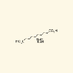 O=C(O)CCCCCCCCC(=O)O.[NaH].[NaH]